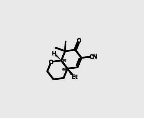 CC[C@]12C=C(C#N)C(=O)C(C)(C)[C@@H]1OCCC2